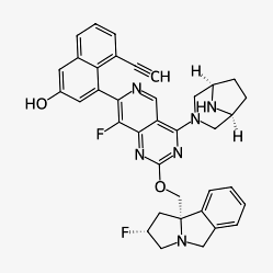 C#Cc1cccc2cc(O)cc(-c3ncc4c(N5C[C@H]6CC[C@@H](C5)N6)nc(OC[C@@]56C[C@@H](F)CN5Cc5ccccc56)nc4c3F)c12